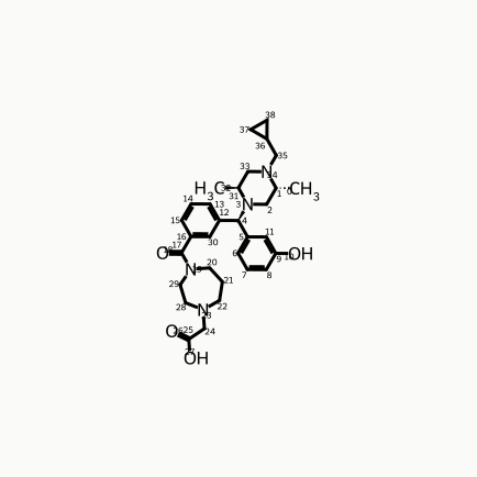 C[C@@H]1CN([C@@H](c2cccc(O)c2)c2cccc(C(=O)N3CCCN(CC(=O)O)CC3)c2)[C@@H](C)CN1CC1CC1